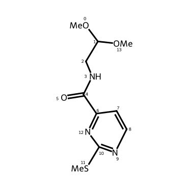 COC(CNC(=O)c1ccnc(SC)n1)OC